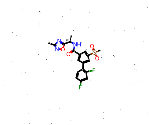 Cc1noc([C@@H](C)NC(=O)c2cc(-c3ccc(F)cc3F)cc(S(C)(=O)=O)c2)n1